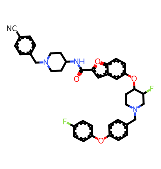 N#Cc1ccc(CN2CCC(NC(=O)c3cc4cc(OC5CCN(Cc6ccc(Oc7ccc(F)cc7)cc6)CC5F)ccc4o3)CC2)cc1